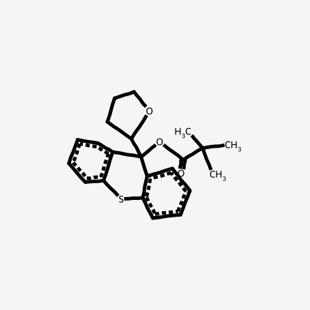 CC(C)(C)C(=O)OC1(C2CCCO2)c2ccccc2Sc2ccccc21